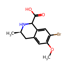 COc1cc2c(cc1Br)C(C(=O)O)N[C@H](C)C2